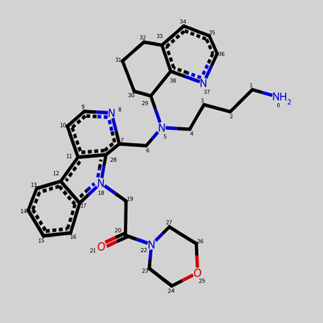 NCCCCN(Cc1nccc2c3ccccc3n(CC(=O)N3CCOCC3)c12)C1CCCc2cccnc21